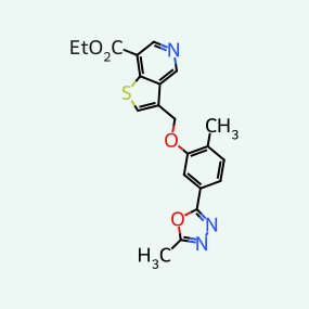 CCOC(=O)c1cncc2c(COc3cc(-c4nnc(C)o4)ccc3C)csc12